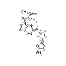 C/C=C(\[C@H](C)OC)n1nnc2cnc(N[C@@H]3CC[C@H](c4ncc(C)o4)C3)nc21